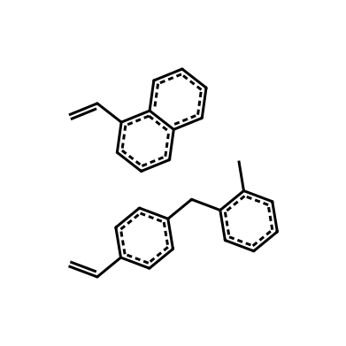 C=Cc1ccc(Cc2ccccc2C)cc1.C=Cc1cccc2ccccc12